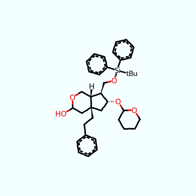 CC(C)(C)[Si](OC[C@@H]1[C@H]2COC(O)C[C@@]2(CCc2ccccc2)C[C@H]1OC1CCCCO1)(c1ccccc1)c1ccccc1